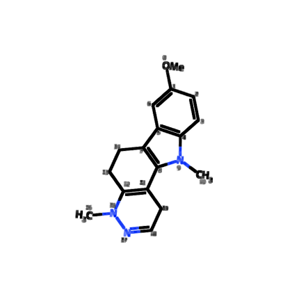 COc1ccc2c(c1)c1c(n2C)C2=C(CC1)N(C)N=CC2